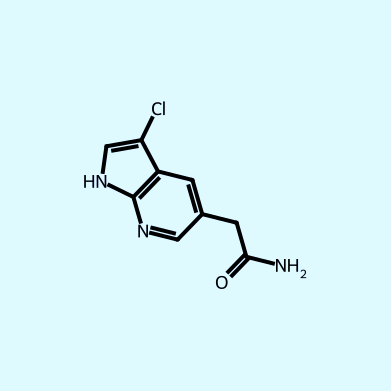 NC(=O)Cc1cnc2[nH]cc(Cl)c2c1